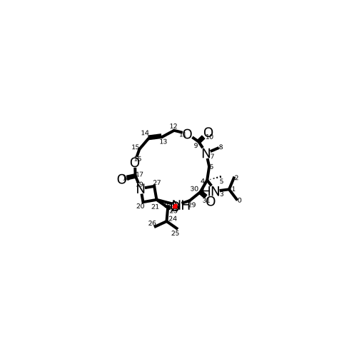 CC(C)N[C@]1(C)CN(C)C(=O)OC/C=C/COC(=O)N2CC(C(=O)C(C)C)(C2)NCC1=O